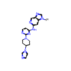 CC(C)n1cnc2cnc(Nc3ccnc(N4CCC(n5ccnc5)CC4)n3)cc21